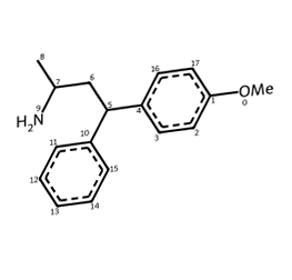 COc1ccc(C(CC(C)N)c2ccccc2)cc1